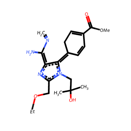 C=N/C(N)=c1/nc(COCC)n(CC(C)(C)O)/c1=C1\C=CC(C(=O)OC)=CC1